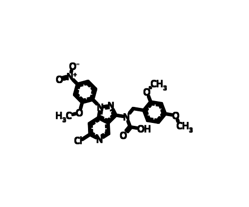 COc1ccc(CN(C(=O)O)c2nn(-c3ccc([N+](=O)[O-])cc3OC)c3cc(Cl)ncc23)c(OC)c1